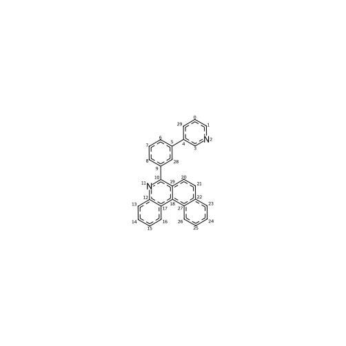 c1cncc(-c2cccc(-c3nc4ccccc4c4c3ccc3ccccc34)c2)c1